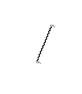 [CH2]CCCCCCCCCCCCCCCCCCCCCCCCC